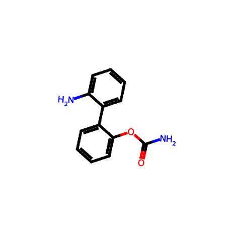 NC(=O)Oc1ccccc1-c1ccccc1N